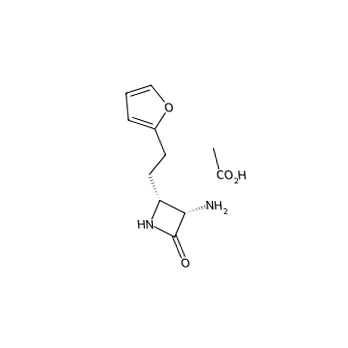 CC(=O)O.N[C@@H]1C(=O)N[C@@H]1CCc1ccco1